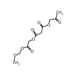 COCOC(=O)COC(=O)CC(=O)OCC(C)=O